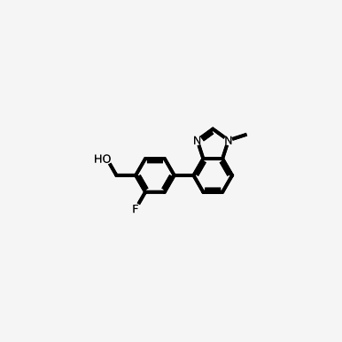 Cn1cnc2c(-c3ccc(CO)c(F)c3)cccc21